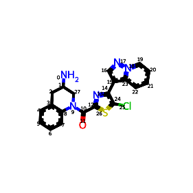 NC1Cc2ccccc2N(C(=O)c2nc(-c3cnn4ccccc34)c(Cl)s2)C1